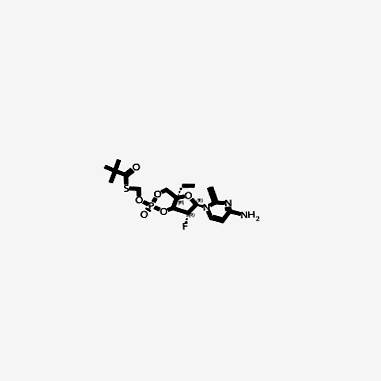 C=C1N=C(N)C=CN1[C@@H]1O[C@]2(CC)COP(=O)(OCSC(=O)C(C)(C)C)OC2[C@H]1F